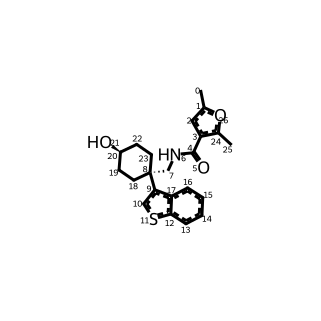 Cc1cc(C(=O)NC[C@]2(c3csc4ccccc43)CC[C@@H](O)CC2)c(C)o1